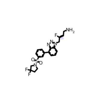 NC/C=C(\F)Cn1nnc2c(-c3cccc(S(=O)(=O)N4CCC(F)(F)C4)c3)cccc21